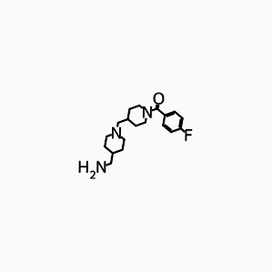 NCC1CCN(CC2CCN(C(=O)c3ccc(F)cc3)CC2)CC1